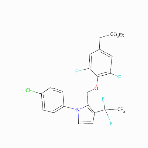 CCOC(=O)Cc1cc(F)c(OCc2c(C(F)(F)C(F)(F)F)ccn2-c2ccc(Cl)cc2)c(F)c1